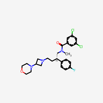 CN(C[C@@H](CCN1CC(N2CCOCC2)C1)c1ccc(F)cc1)C(=O)c1cc(Cl)cc(Cl)c1